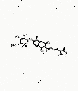 CO[C@@H]1[C@H](O)[C@@H](O)[C@H](Oc2ccc3c(O)c(C(C)=NOCc4c(C)noc4C)c(=O)oc3c2C)OC1(C)C